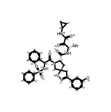 CCC[C@H](NC(=O)[C@@H]1C[C@]2(CC(c3cccc(Cl)c3)=NO2)CN1C(=O)C(NS(=O)(=O)c1ccccc1)c1ccccc1)C(=O)C(=O)NC1CC1